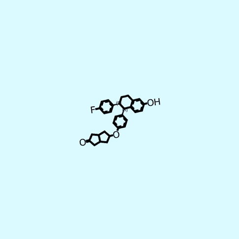 O=C1CC2CC(Oc3ccc([C@@H]4c5ccc(O)cc5CC[C@@H]4c4ccc(F)cc4)cc3)CC2C1